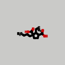 CCCCC1(C(=O)O)CCC(C(=O)O)C1CC